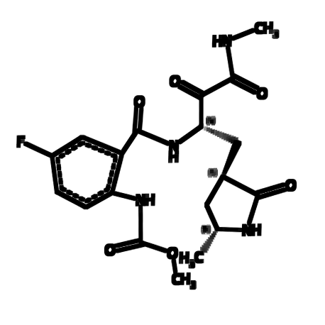 CNC(=O)C(=O)[C@H](C[C@@H]1C[C@@H](C)NC1=O)NC(=O)c1cc(F)ccc1NC(=O)OC